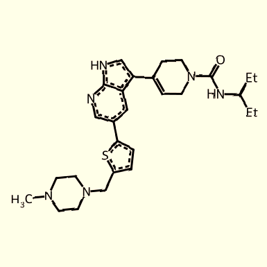 CCC(CC)NC(=O)N1CC=C(c2c[nH]c3ncc(-c4ccc(CN5CCN(C)CC5)s4)cc23)CC1